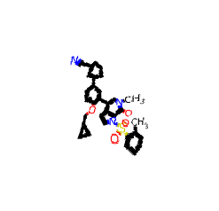 Cc1ccccc1S(=O)(=O)n1ccc2c(-c3cc(-c4cccc(C#N)c4)ccc3OCC3CC3)cn(C)c(=O)c21